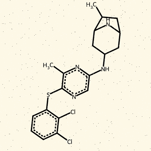 Cc1nc(NC2CC3CC(C)C(C2)N3)cnc1Sc1cccc(Cl)c1Cl